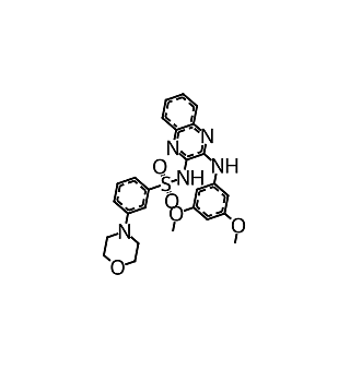 COc1cc(Nc2nc3ccccc3nc2NS(=O)(=O)c2cccc(N3CCOCC3)c2)cc(OC)c1